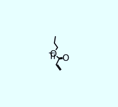 C=CC(=O)OCCC.[Ti]